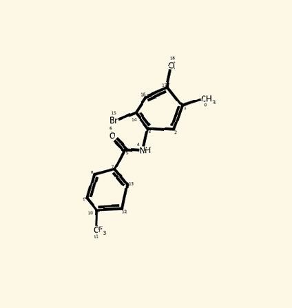 Cc1cc(NC(=O)c2ccc(C(F)(F)F)cc2)c(Br)cc1Cl